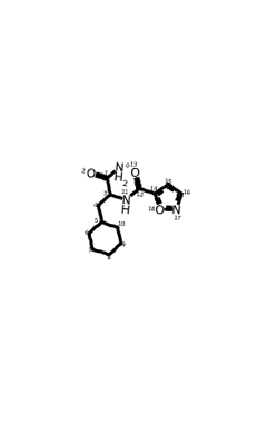 NC(=O)C(CC1CCCCC1)NC(=O)c1ccno1